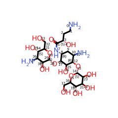 NCC[C@H](O)C(=O)N[C@@H]1CC(N)[C@@H](O[C@H]2OC(CO)[C@@H](O)C(O)C2O)C(O)[C@@H]1O[C@H]1OC(CO)[C@@H](O)C(N)[C@@H]1O